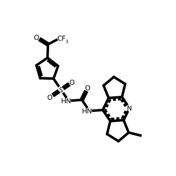 CC1CCc2c1nc1c(c2NC(=O)NS(=O)(=O)C2C=CC(C(=O)C(F)(F)F)=C2)CCC1